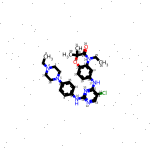 CCN1CCN(c2ccc(Nc3ncc(Cl)c(Nc4ccc5c(c4)N(CC)C(=O)C(C)(C)O5)n3)cc2)CC1